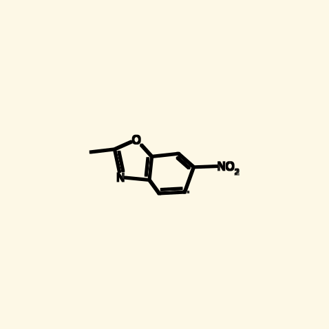 Cc1nc2c[c]c([N+](=O)[O-])cc2o1